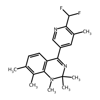 Cc1cc(C2=NC(C)(C)N(C)c3c2ccc(C)c3C)cnc1C(F)F